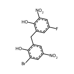 O=[N+]([O-])c1cc(Br)c(O)c(Cc2cc(F)cc([N+](=O)[O-])c2O)c1